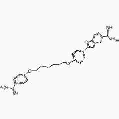 N=C(N)c1ccc(OCCCCCCOc2ccc(-c3cc4cc(C(=N)N)ccc4o3)cc2)cc1